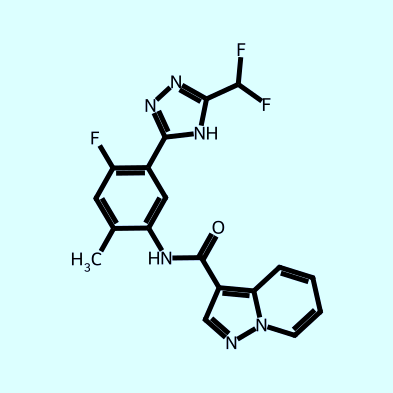 Cc1cc(F)c(-c2nnc(C(F)F)[nH]2)cc1NC(=O)c1cnn2ccccc12